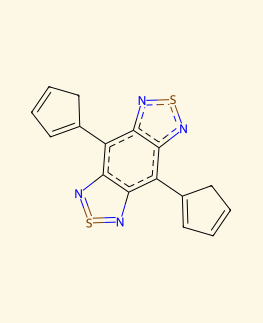 C1=CCC(c2c3c(c(C4=CC=CC4)c4nsnc24)N=S=N3)=C1